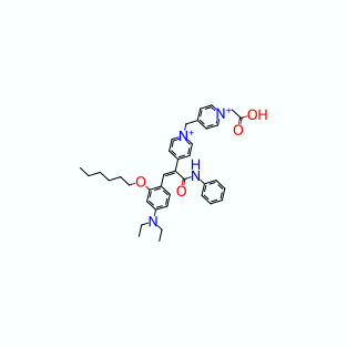 CCCCCCOc1cc(N(CC)CC)ccc1/C=C(\C(=O)Nc1ccccc1)c1cc[n+](Cc2cc[n+](CC(=O)O)cc2)cc1